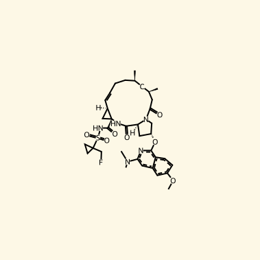 COc1ccc2c(O[C@@H]3C[C@H]4C(=O)N[C@]5(C(=O)NS(=O)(=O)C6(CF)CC6)C[C@H]5/C=C\CC[C@@H](C)C[C@@H](C)CC(=O)N4C3)nc(N(C)C)cc2c1